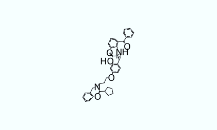 O=C(c1ccccc1)c1ccccc1N[C@@H](Cc1ccc(OCCCN(Cc2ccccc2)C(=O)C2CCCC2)cc1)C(=O)O